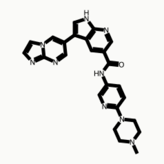 CN1CCN(c2ccc(NC(=O)c3cnc4[nH]cc(-c5cnc6nccn6c5)c4c3)cn2)CC1